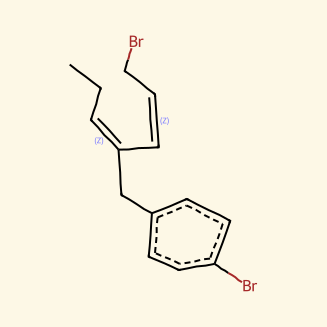 CC/C=C(\C=C/CBr)Cc1ccc(Br)cc1